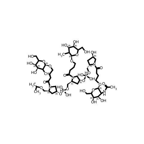 CC(=O)NC1[C@H](OCCCC(=O)N2C[C@H](O)C[C@H]2CO[PH](O)(O)O[C@@H]2C[C@@H](CO[PH](O)(O)O[C@@H]3C[C@@H](COC(C)C)N(C(=O)CCCO[C@@H]4OC(CO)[C@H](O)[C@H](O)C4C)C3)N(C(=O)CCCO[C@@H]3OC(CO)[C@H](O)[C@H](O)C3C)C2)OC(CO)[C@H](O)[C@@H]1O